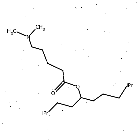 CC(C)CCCC(CCC(C)C)OC(=O)CCCCN(C)C